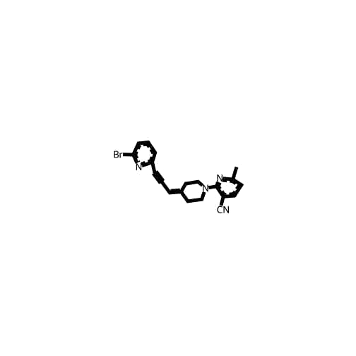 Cc1ccc(C#N)c(N2CCC(=CC#Cc3cccc(Br)n3)CC2)n1